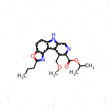 CCCc1nc2c(ccc3[nH]c4cnc(C(=O)OC(C)C)c(COC)c4c32)o1